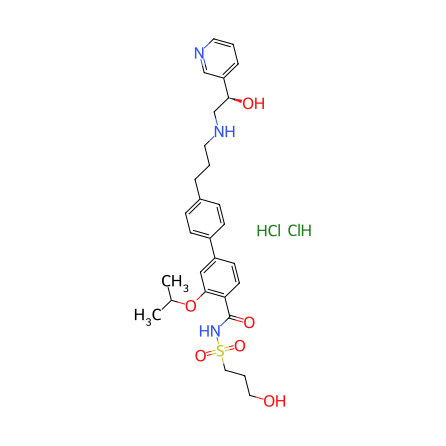 CC(C)Oc1cc(-c2ccc(CCCNC[C@H](O)c3cccnc3)cc2)ccc1C(=O)NS(=O)(=O)CCCO.Cl.Cl